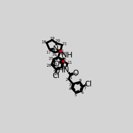 O=C(Cc1cccc(Cl)c1)NCC(=O)NC1CC2CCC(C1)N2Cc1ccc(Cl)cc1